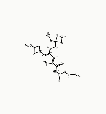 COC1CN(c2ccc(C(=O)NC(C)COCF)nc2OCC2(CO)COC2)C1